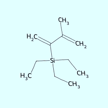 C=C(C)C(=C)[Si](CC)(CC)CC